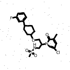 Cc1cc(Cl)cn(C(CNS(C)(=O)=O)COC2CCC(c3cccc(F)c3)CC2)c1=O